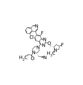 C=CC(=O)N1CCN(c2nc(OC[C@@H]3C[C@@H](F)CN3C)nc3c(F)c(-c4cncc5cccc(Cl)c45)ccc23)C[C@@H]1CC#N